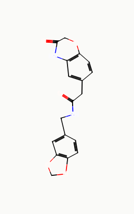 O=C(Cc1ccc2c(c1)NC(=O)CO2)NCc1ccc2c(c1)OCO2